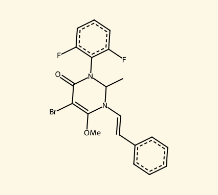 COC1=C(Br)C(=O)N(c2c(F)cccc2F)C(C)N1C=Cc1ccccc1